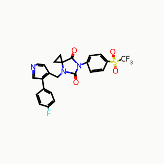 O=C1N(c2ccc(S(=O)(=O)C(F)(F)F)cc2)C(=O)C2(CC2)N1Cc1ccncc1-c1ccc(F)cc1